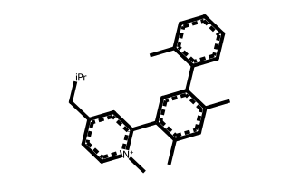 Cc1ccccc1-c1cc(-c2cc(CC(C)C)cc[n+]2C)c(C)cc1C